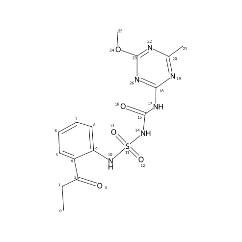 CCC(=O)c1ccccc1NS(=O)(=O)NC(=O)Nc1nc(C)nc(OC)n1